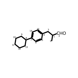 CC(C=O)Cc1ccc(C2CCCCC2)cc1